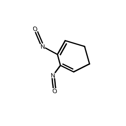 O=NC1=CCCC=C1N=O